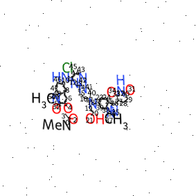 CNC(=O)COc1cc2cc(Nc3nc(N4CCC(N(CCO)c5ccc6c(C7CCC(=O)NC7=O)nn(C)c6c5)CC4)ncc3Cl)ccc2n(C)c1=O